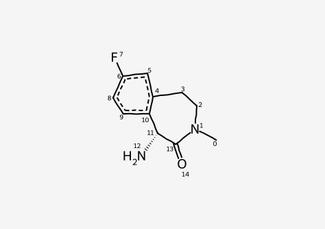 CN1CCc2cc(F)ccc2[C@@H](N)C1=O